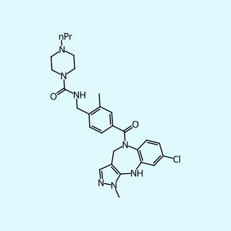 CCCN1CCN(C(=O)NCc2ccc(C(=O)N3Cc4cnn(C)c4Nc4cc(Cl)ccc43)cc2C)CC1